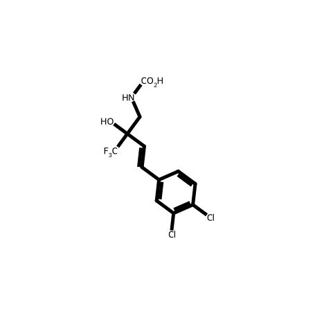 O=C(O)NCC(O)(C=Cc1ccc(Cl)c(Cl)c1)C(F)(F)F